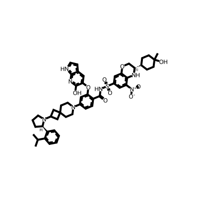 CC(C)c1ccccc1[C@H]1CCCN1C1CC2(CCN(c3ccc(C(=O)NS(=O)(=O)c4cc5c(c([N+](=O)[O-])c4)N[C@@H](C4CCC(C)(O)CC4)CO5)c(Oc4cc5cc[nH]c5nc4O)c3)CC2)C1